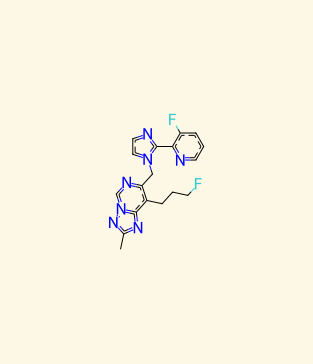 Cc1nc2c(CCCF)c(Cn3ccnc3-c3ncccc3F)ncn2n1